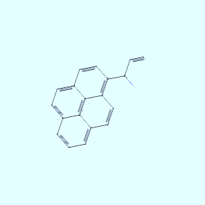 C=CC(N)c1ccc2ccc3cccc4ccc1c2c34